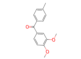 COc1ccc(C(=O)c2ccc(C)cc2)cc1OC